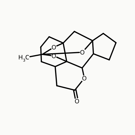 CC12OC34CCCC3C3OC(=O)CC5CCCC(C4)(O1)C53O2